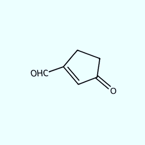 O=CC1=CC(=O)CC1